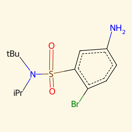 CC(C)N(C(C)(C)C)S(=O)(=O)c1cc(N)ccc1Br